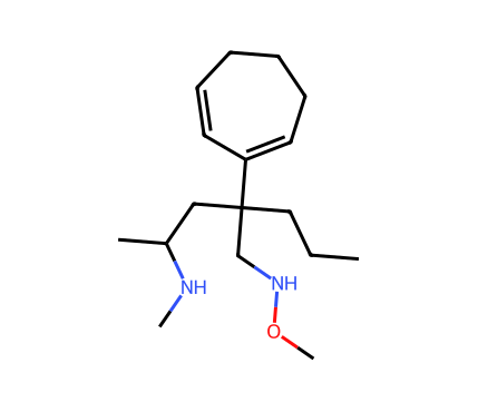 CCCC(CNOC)(CC(C)NC)C1=CCCCC=C1